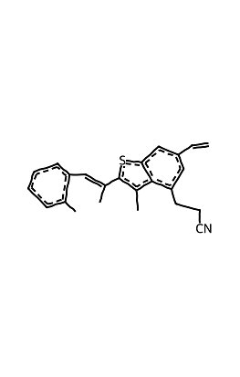 C=Cc1cc(CCC#N)c2c(C)c(/C(C)=C/c3ccccc3C)sc2c1